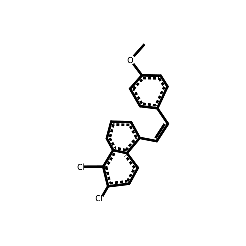 COc1ccc(/C=C\c2cccc3c(Cl)c(Cl)ccc23)cc1